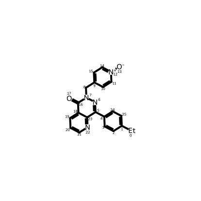 CCc1ccc(-c2nn(Cc3cc[n+]([O-])cc3)c(=O)c3cccnc23)cc1